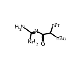 CCCCC(CCC)C(=O)N=C(N)N